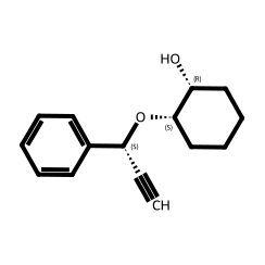 C#C[C@@H](O[C@H]1CCCC[C@H]1O)c1ccccc1